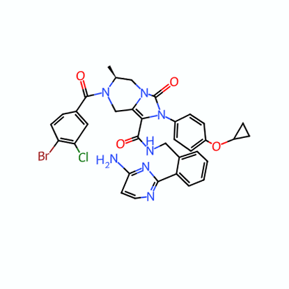 C[C@H]1Cn2c(c(C(=O)NCc3ccccc3-c3nccc(N)n3)n(-c3ccc(OC4CC4)cc3)c2=O)CN1C(=O)c1ccc(Br)c(Cl)c1